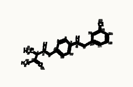 CC(NCc1ccc(NCc2cccc(Cl)c2)cc1)C(N)=O